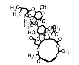 COC1C(OC(C)=O)CC(=O)OC(C)C/C=C\C=C\C(=O)C(C)CC(CC=O)C1O[C@@H]1O[C@H](C)[C@@H](O[C@@H]2O[C@@H](C)[C@H](OC(=O)CC(C)C)[C@](C)(O)[C@H]2Br)[C@H](N(C)C)[C@H]1O